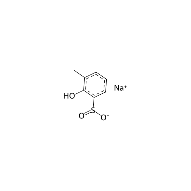 Cc1cccc(S(=O)[O-])c1O.[Na+]